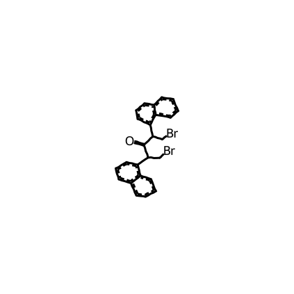 O=C(C(CBr)c1cccc2ccccc12)C(CBr)c1cccc2ccccc12